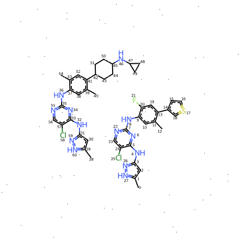 Cc1cc(Nc2nc(Nc3cc(C)c(-c4ccsc4)cc3F)ncc2Cl)n[nH]1.Cc1cc(Nc2nc(Nc3cc(C)c(C4CCC(NC5CC5)CC4)cc3C)ncc2Cl)n[nH]1